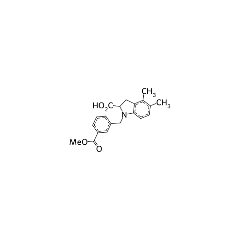 COC(=O)c1cccc(CN2c3ccc(C)c(C)c3CC2C(=O)O)c1